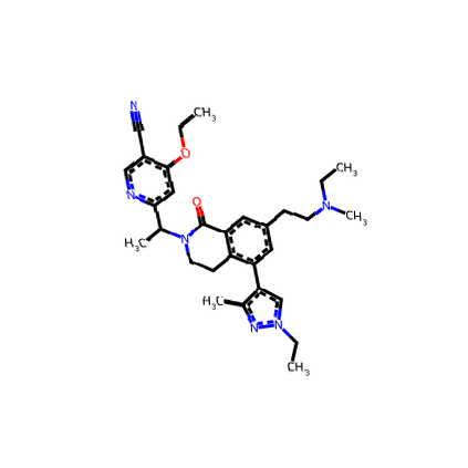 CCOc1cc(C(C)N2CCc3c(cc(CCN(C)CC)cc3-c3cn(CC)nc3C)C2=O)ncc1C#N